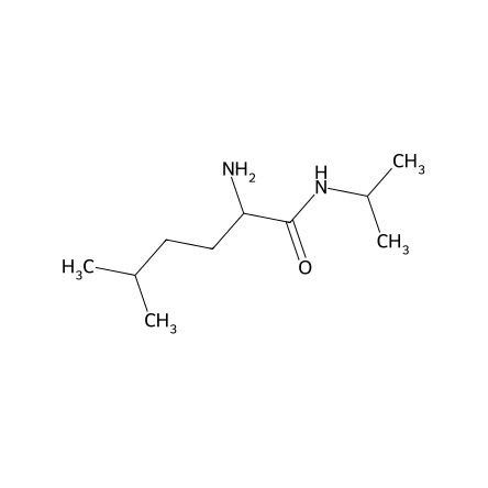 CC(C)CCC(N)C(=O)NC(C)C